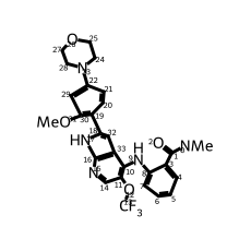 CNC(=O)c1ccccc1Nc1c(OC(F)(F)F)cnc2[nH]c(-c3ccc(N4CCOCC4)cc3OC)cc12